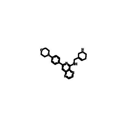 C1=C(CNc2nc(-c3ccc(N4CCOCC4)cc3)cc3nccnc23)CNCC1